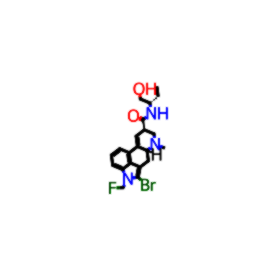 CC[C@@H](CO)NC(=O)[C@@H]1C=C2c3cccc4c3c(c(Br)n4CF)C[C@H]2N(C)C1